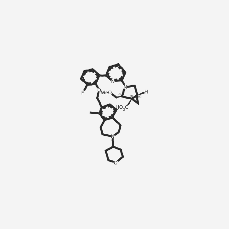 COC[C@H]1N(c2cccc(-c3cccc(F)c3OCc3ccc4c(c3C)CCN(C3CCOCC3)CC4)n2)C[C@@H]2C[C@@]21C(=O)O